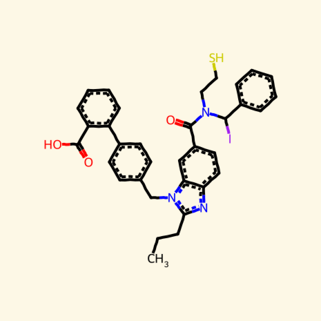 CCCc1nc2ccc(C(=O)N(CCS)C(I)c3ccccc3)cc2n1Cc1ccc(-c2ccccc2C(=O)O)cc1